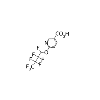 O=C(O)c1ccc(OC(F)C(F)(F)C(F)(F)C(F)(F)F)nc1